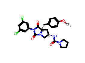 O=C(N[C@@H]1CN2C(=O)N(c3cc(Cl)cc(Cl)c3)C(=O)[C@@]2(Cc2ccc(OC(F)(F)F)cc2)C1)N1CCCC1